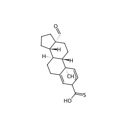 C[C@]12C=CC(C(O)=S)C=C1CC[C@H]1[C@@H]3CCC[C@@]3(C=O)CC[C@@H]12